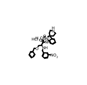 CS(=O)(=O)[N+]1(NC(=O)C(COCc2ccccc2)NCc2cccc([N+](=O)[O-])c2)CC2(CCNCC2)c2ccccc21.Cl